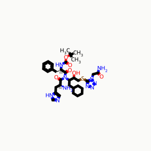 CC(C)(C)OC(=O)N[C@@H](Cc1ccccc1)C(=O)N(C(=O)[C@@H](N)Cc1cnc[nH]1)C(CC1CCCCC1)C(O)CSc1nnnn1CC(N)=O